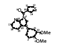 COc1ccc(-c2cn(C(=O)c3ccsc3)c3ncccc23)cc1OC